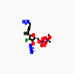 COP(C)(=O)OP(=O)(O)OC[C@H]1O[C@@H](BC#CCN)[C@@H](F)C1ON=[N+]=[N-]